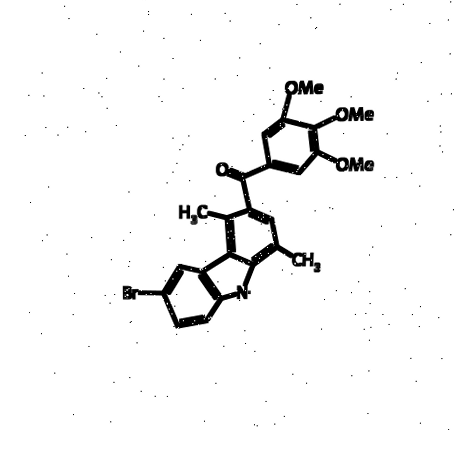 COc1cc(C(=O)c2cc(C)c3c(c2C)-c2cc(Br)ccc2[N]3)cc(OC)c1OC